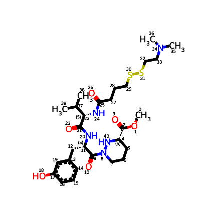 COC(=O)[C@@H]1CCCN(C(=O)[C@H](Cc2cccc(O)c2)NC(=O)[C@@H](NC(=O)CCCSSCCN(C)C)C(C)C)N1